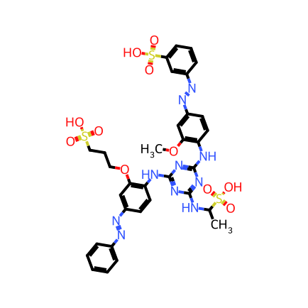 COc1cc(N=Nc2cccc(S(=O)(=O)O)c2)ccc1Nc1nc(Nc2ccc(N=Nc3ccccc3)cc2OCCCS(=O)(=O)O)nc(NC(C)S(=O)(=O)O)n1